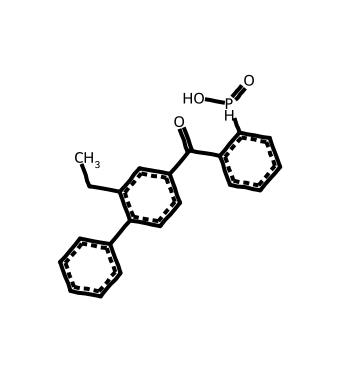 CCc1cc(C(=O)c2ccccc2[PH](=O)O)ccc1-c1ccccc1